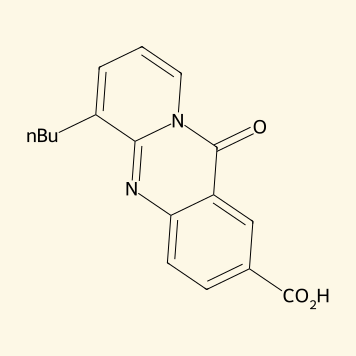 CCCCc1cccn2c(=O)c3cc(C(=O)O)ccc3nc12